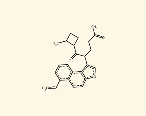 C=Cc1cccc2c1ccc1occ(C(CCC(C)=O)C(=O)C3CCC3C)c12